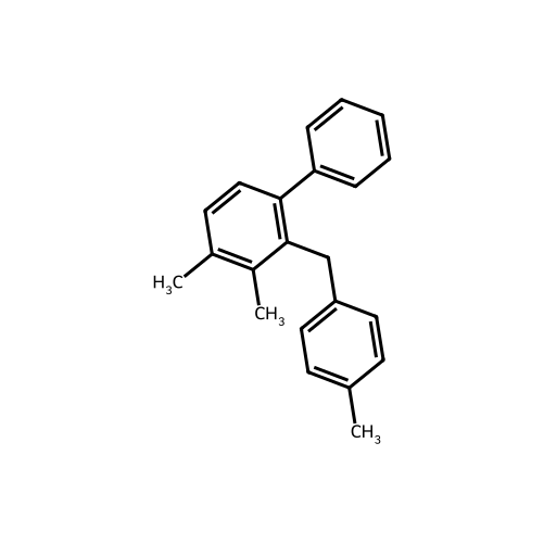 Cc1ccc(Cc2c(-c3ccccc3)ccc(C)c2C)cc1